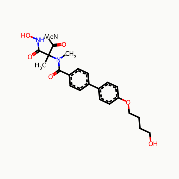 CNC(=O)C(C)(C(=O)NO)N(C)C(=O)c1ccc(-c2ccc(OCCCCO)cc2)cc1